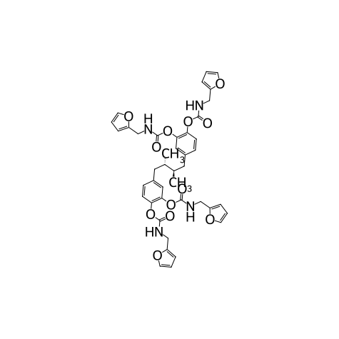 C[C@H](Cc1ccc(OC(=O)NCc2ccco2)c(OC(=O)NCc2ccco2)c1)[C@@H](C)Cc1ccc(OC(=O)NCc2ccco2)c(OC(=O)NCc2ccco2)c1